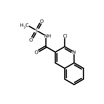 CS(=O)(=O)NC(=O)c1cc2ccccc2nc1Cl